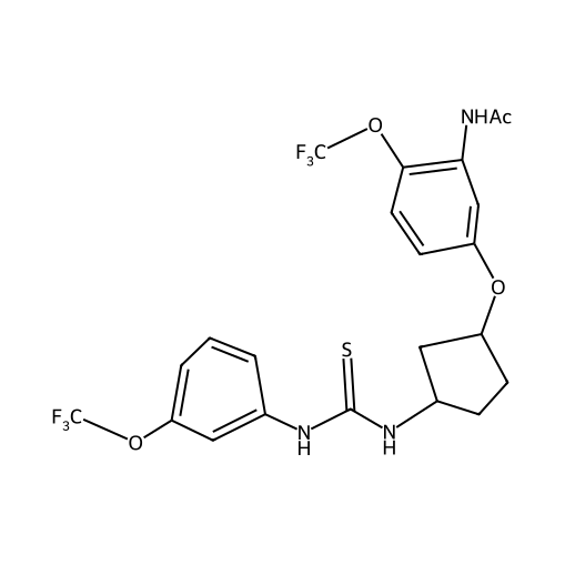 CC(=O)Nc1cc(OC2CCC(NC(=S)Nc3cccc(OC(F)(F)F)c3)C2)ccc1OC(F)(F)F